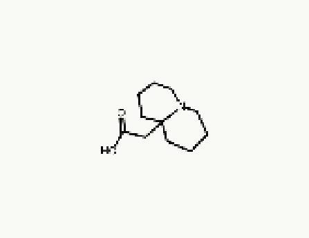 O=C(O)CC12CCCCN1CCCC2